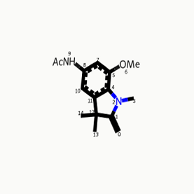 C=C1N(C)c2c(OC)cc(NC(C)=O)cc2C1(C)C